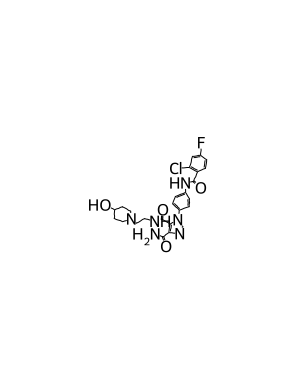 NC(=O)c1ncn(-c2ccc(NC(=O)c3ccc(F)cc3Cl)cc2)c1C(=O)NCCN1CCC(O)CC1